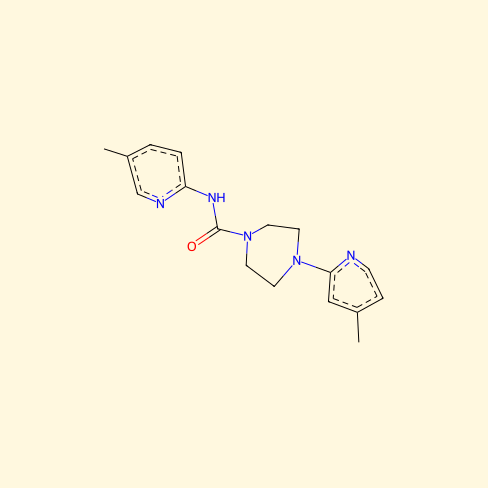 Cc1ccc(NC(=O)N2CCN(c3cc(C)ccn3)CC2)nc1